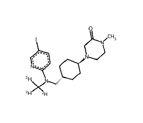 [2H]C([2H])([2H])N(C[C@H]1CC[C@H](N2CCN(C)C(=O)C2)CC1)c1ccc(I)cn1